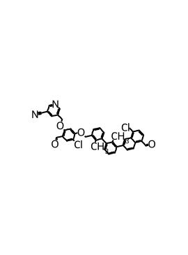 Cc1c(COc2cc(OCc3cncc(C#N)c3)c(C=O)cc2Cl)cccc1-c1cccc(-c2ccc3c(C=O)ccc(Cl)c3c2)c1C